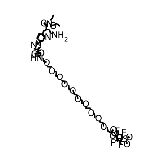 CCCN(OCC)C(=O)C1=Cc2ccc(-n3cc(S(=O)(=O)NCCOCCOCCOCCOCCOCCOCCOCCOCCOCCOCCC(=O)Oc4c(F)c(F)c([SH](=O)=O)c(F)c4F)cn3)cc2N=C(N)C1